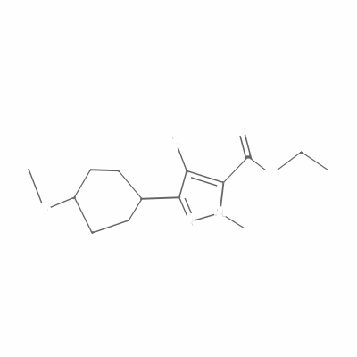 CCOC(=O)c1c(N)c(C2CCC(OC)CC2)nn1C